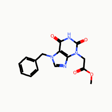 COC(=O)Cn1c(=O)[nH]c(=O)c2c1ncn2Cc1ccccc1